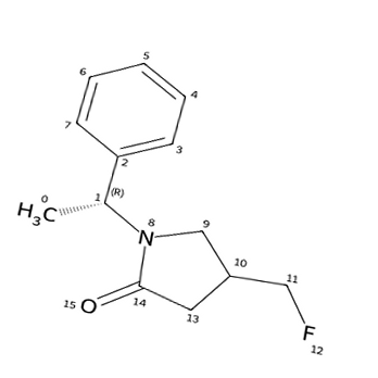 C[C@H](c1ccccc1)N1CC(CF)CC1=O